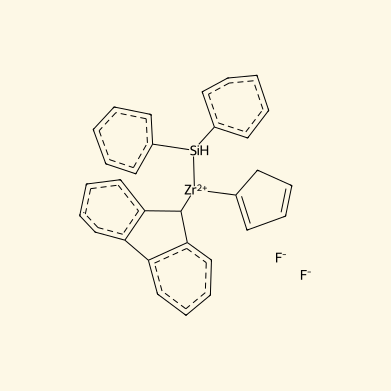 C1=CC[C]([Zr+2]([CH]2c3ccccc3-c3ccccc32)[SiH](c2ccccc2)c2ccccc2)=C1.[F-].[F-]